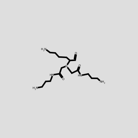 NCCCCC(C=O)N(CC(=O)NCCCN)CC(=O)NCCCN